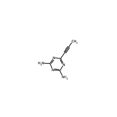 CC#Cc1nc(N)nc(N)n1